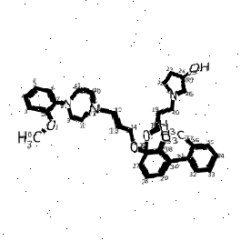 COc1ccccc1N1CCN(CCCOC2(OCCCN3CC[C@@H](O)C3)C=CC=C(c3ccccc3C)C2C)CC1